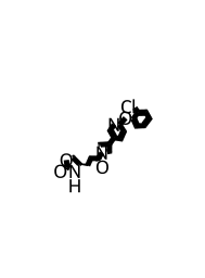 O=C1N[C@H](CCC(=O)N2CC(c3ccc(Oc4ccccc4Cl)nc3)C2)CO1